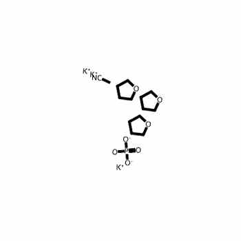 C1CCOC1.C1CCOC1.C1CCOC1.CC#N.O=P([O-])([O-])[O-].[K+].[K+].[K+]